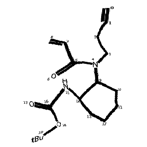 C=CCCN(C(=O)C=C)C1CCCCC1NC(=O)OC(C)(C)C